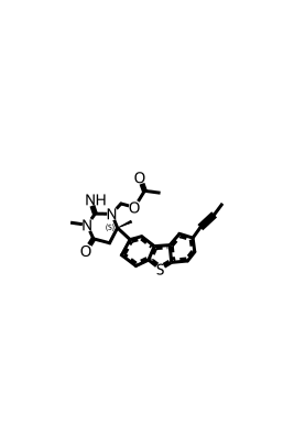 CC#Cc1ccc2sc3ccc([C@]4(C)CC(=O)N(C)C(=N)N4COC(C)=O)cc3c2c1